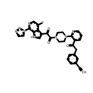 C#Cc1cccc(CC(=O)c2cccnc2N2CCN(C(=O)C(=O)c3c[nH]c4c(-n5ccnn5)ncc(F)c34)CC2)c1